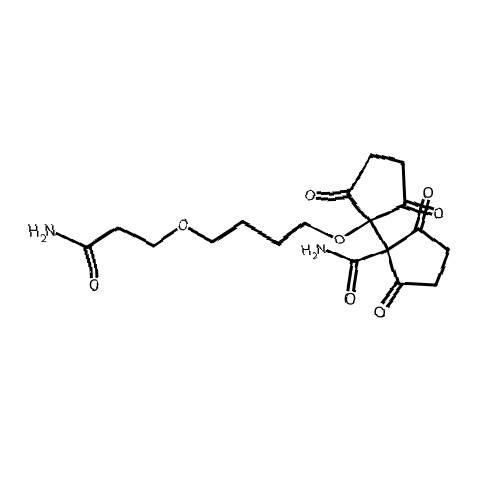 NC(=O)CCOCCCCOC1(C2(C(N)=O)C(=O)CCC2=O)C(=O)CCC1=O